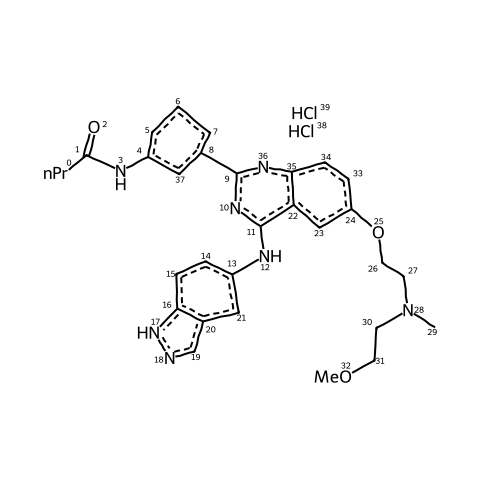 CCCC(=O)Nc1cccc(-c2nc(Nc3ccc4[nH]ncc4c3)c3cc(OCCN(C)CCOC)ccc3n2)c1.Cl.Cl